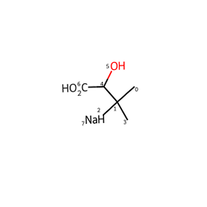 CC(C)(C)C(O)C(=O)O.[NaH]